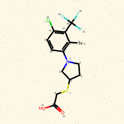 [2H]c1c(N2CCC(SCC(=O)O)C2)ccc(Cl)c1C(F)(F)F